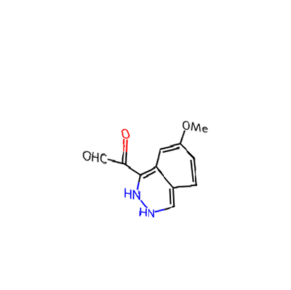 COc1ccc2c(c1)=C(C(=O)C=O)NNC=2